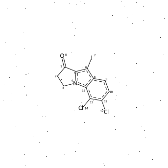 O=C1CCn2c1c(I)c1ccc(Cl)c(Cl)c12